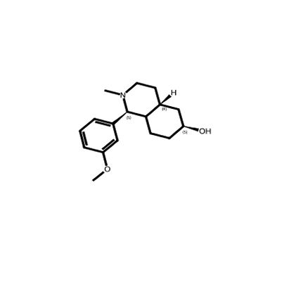 COc1cccc([C@@H]2C3CC[C@H](O)C[C@H]3CCN2C)c1